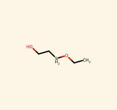 CCO[SiH2]CCO